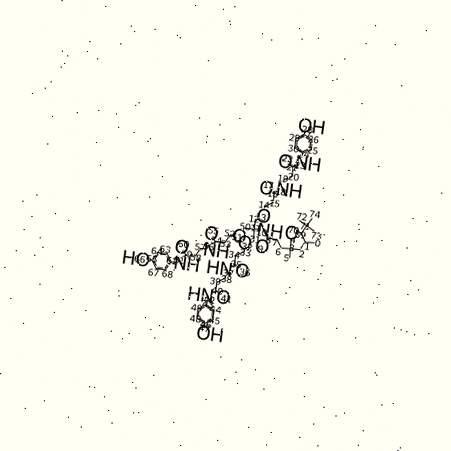 CC(CC(C)(C)CCC(=O)NC(COCCC(=O)NCCC(=O)Nc1ccc(O)cc1)(COCCC(=O)NCCC(=O)Nc1ccc(O)cc1)COCCC(=O)NCCC(=O)Nc1ccc(O)cc1)C(=O)C(C)(C)C